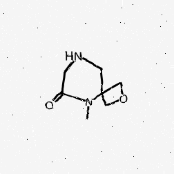 CN1C(=O)CNCC12COC2